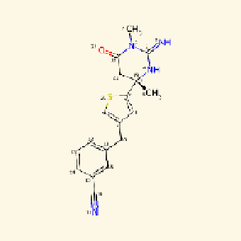 CN1C(=N)N[C@](C)(c2cc(Cc3cccc(C#N)c3)cs2)CC1=O